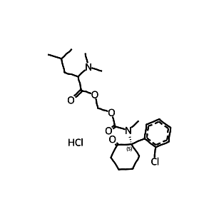 CC(C)CC(C(=O)OCOC(=O)N(C)[C@]1(c2ccccc2Cl)CCCCC1=O)N(C)C.Cl